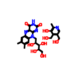 Cc1cc2nc3c(=O)[nH]c(=O)nc-3n(C[C@H](O)[C@H](O)[C@H](O)CO)c2cc1C.Cc1ncc(CO)c(CO)c1O